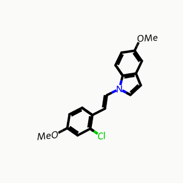 COc1ccc(/C=C/n2ccc3cc(OC)ccc32)c(Cl)c1